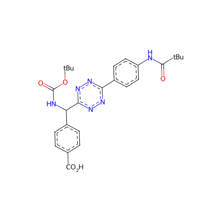 CC(C)(C)OC(=O)NC(c1ccc(C(=O)O)cc1)c1nnc(-c2ccc(NC(=O)C(C)(C)C)cc2)nn1